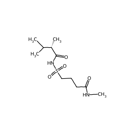 CNC(=O)CCCS(=O)(=O)NC(=O)[C@@H](C)C(C)C